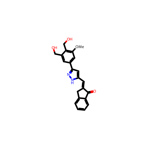 COc1cc(-c2cc(/C=C3\Cc4ccccc4C3=O)[nH]n2)cc(CO)c1CO